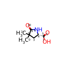 CC1(C)C[C@@H](C(=O)O)NC1=O